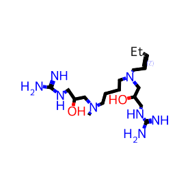 CC/C=C\CN(CCCCN(C)CC(O)CNC(=N)N)CC(O)CNC(=N)N